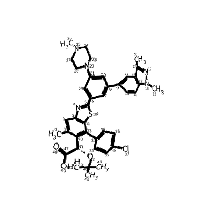 Cc1cc2nc(-c3cc(-c4ccc5c(c4)c(C)nn5C)cc(N4CCN(C)CC4)c3)sc2c(-c2ccc(Cl)cc2)c1[C@H](OC(C)(C)C)C(=O)O